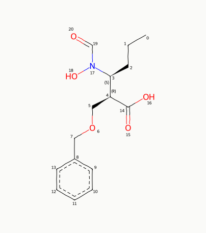 CCC[C@@H]([C@H](COCc1ccccc1)C(=O)O)N(O)C=O